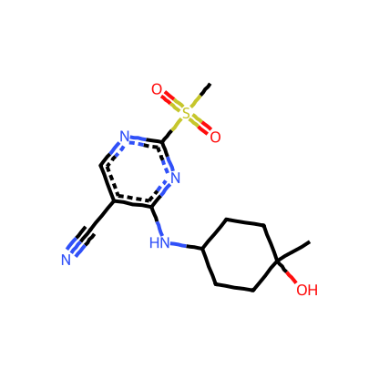 CC1(O)CCC(Nc2nc(S(C)(=O)=O)ncc2C#N)CC1